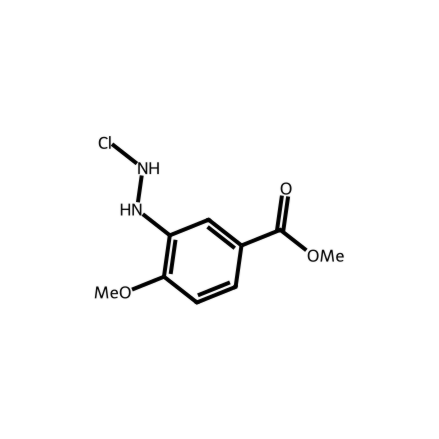 COC(=O)c1ccc(OC)c(NNCl)c1